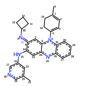 CC1=CC=C(n2c3c/c(=N\C4CCC4)c(Nc4cncc(C)c4)cc-3nc3ccccc32)CC1